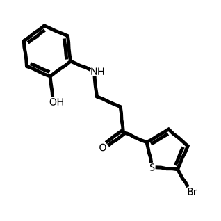 O=C(CCNc1ccccc1O)c1ccc(Br)s1